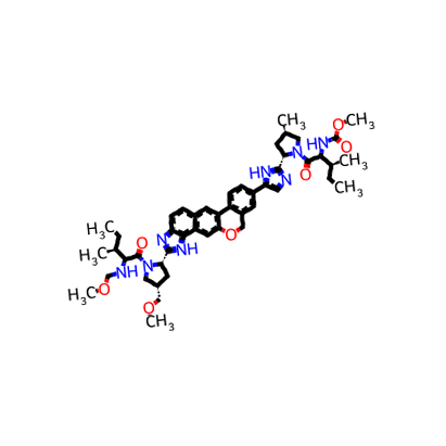 CC[C@H](C)C(NC(=O)OC)C(=O)N1C[C@@H](C)C[C@H]1c1ncc(-c2ccc3c(c2)COc2cc4c(ccc5nc([C@@H]6C[C@H](COC)CN6C(=O)C(NCOC)[C@@H](C)CC)[nH]c54)cc2-3)[nH]1